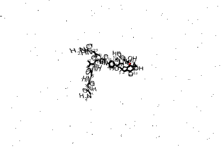 CC1=C2C(=C[C@](C)(CO)[C@@H]2C(C(Cc2ccc(NC(=O)[C@H](CCCNC(N)=O)NC(=O)[C@@H](NC(=O)CNC(=O)CNC(=O)CN)C(C)C)cc2)N(C)C(=O)O)N(C)C(=O)O)C(=O)[C@](C)(O)C12CC2